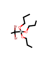 CCCO[Si](OCCC)(OCCC)C(C)(Br)Br